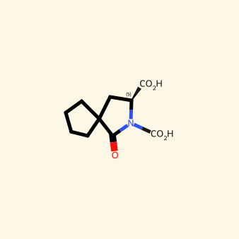 O=C(O)[C@@H]1CC2(CCCC2)C(=O)N1C(=O)O